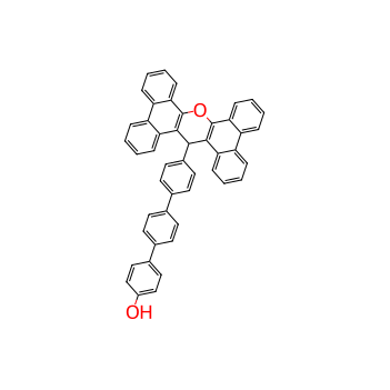 Oc1ccc(-c2ccc(-c3ccc(C4c5c(c6ccccc6c6ccccc56)Oc5c4c4ccccc4c4ccccc54)cc3)cc2)cc1